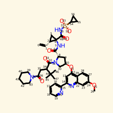 C=C[C@@H]1C[C@]1(NC(=O)[C@@H]1C[C@@H](Oc2cc(-c3ccccn3)nc3cc(OC)ccc23)CN1C(=O)C(CC(=O)N1CCCCC1)C(C)(C)C)C(=O)NS(=O)(=O)C1CC1